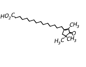 CC1=C(CCCCCCCCCCCCCCC(=O)O)CC(C)(C)C1=O